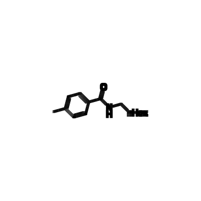 CCCCCCCNC(=O)c1ccc(C)cc1